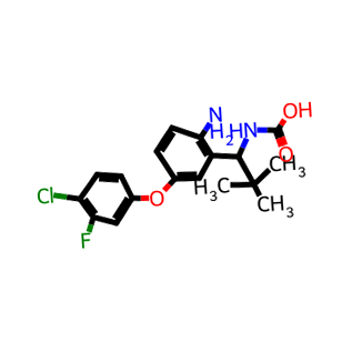 CC(C)(C)C(NC(=O)O)c1cc(Oc2ccc(Cl)c(F)c2)ccc1N